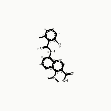 CN(C)c1c(C(=O)O)cnc2c(NC(=O)c3c(Cl)cccc3Cl)cccc12